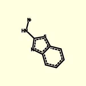 [N]Nc1nc2ccccc2s1